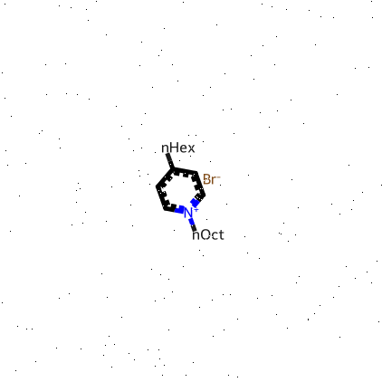 CCCCCCCC[n+]1ccc(CCCCCC)cc1.[Br-]